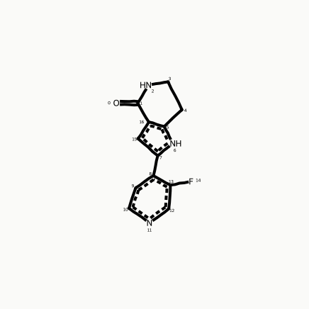 O=C1NCCc2[nH]c(-c3ccncc3F)cc21